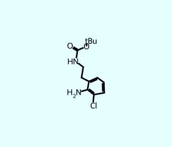 CC(C)(C)OC(=O)NCCc1cccc(Cl)c1N